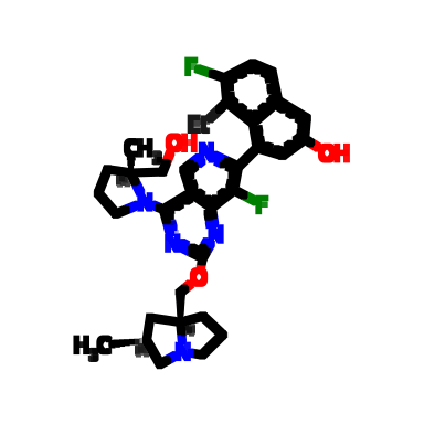 CCc1c(F)ccc2cc(O)cc(-c3ncc4c(N5CCC[C@@]5(C)CO)nc(OC[C@@]56CCCN5C[C@H](C)C6)nc4c3F)c12